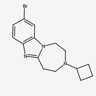 Brc1ccc2nc3n(c2c1)CCN(C1CCC1)CC3